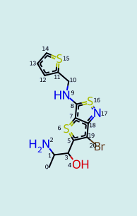 CC(N)C(O)c1sc2c(NCc3cccs3)snc2c1Br